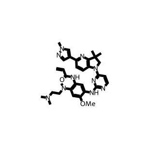 C=CC(=O)Nc1cc(Nc2nccc(N3CC(C)(C)c4nc(-c5cnn(C)c5)ccc43)n2)c(OC)cc1N(C)CCN(C)C